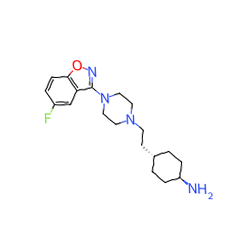 N[C@H]1CC[C@H](CCN2CCN(c3noc4ccc(F)cc34)CC2)CC1